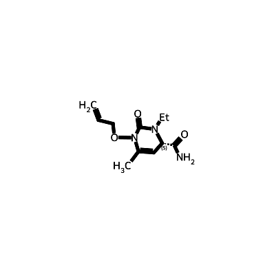 C=CCON1C(=O)N(CC)[C@H](C(N)=O)C=C1C